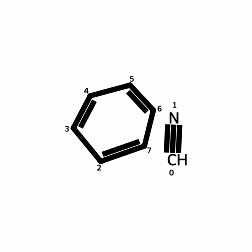 C#N.c1ccccc1